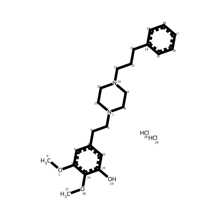 COc1cc(CCN2CCN(CCCc3ccccc3)CC2)cc(O)c1OC.Cl.Cl